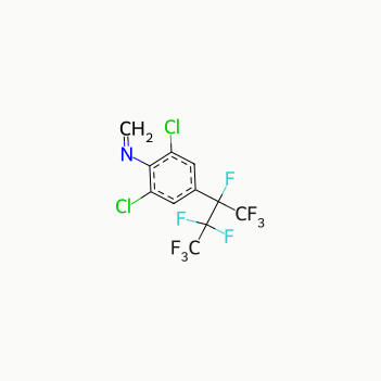 C=Nc1c(Cl)cc(C(F)(C(F)(F)F)C(F)(F)C(F)(F)F)cc1Cl